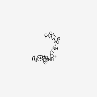 CC(C)(C)OC(=O)N1CCC[C@H]1C(=O)Nc1cc(F)c2c(c1)CC(CNCCC1CN(c3cnc4c(n3)NC(=O)CO4)C(=O)O1)C2